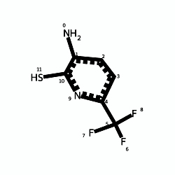 Nc1ccc(C(F)(F)F)nc1S